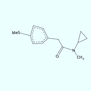 CSc1ccc(CC(=O)N(C)C2CC2)cc1